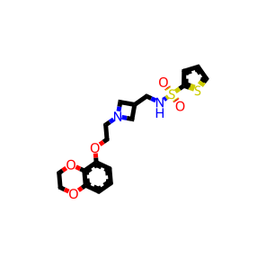 O=S(=O)(NCC1CN(CCOc2cccc3c2OCCO3)C1)c1cccs1